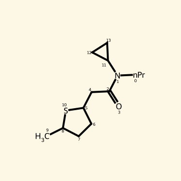 CCCN(C(=O)CC1CCC(C)S1)C1CC1